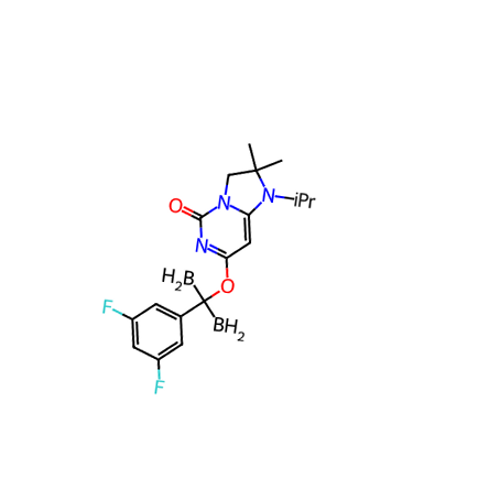 BC(B)(Oc1cc2n(c(=O)n1)CC(C)(C)N2C(C)C)c1cc(F)cc(F)c1